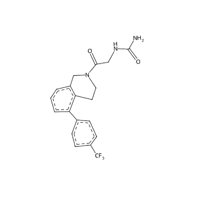 NC(=O)NCC(=O)N1CCc2c(cccc2-c2ccc(C(F)(F)F)cc2)C1